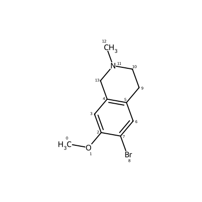 COc1cc2c(cc1Br)CCN(C)C2